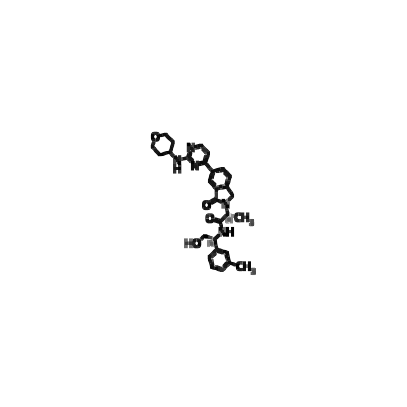 Cc1cccc([C@@H](CO)NC(=O)[C@@H](C)N2Cc3ccc(-c4ccnc(NC5CCOCC5)n4)cc3C2=O)c1